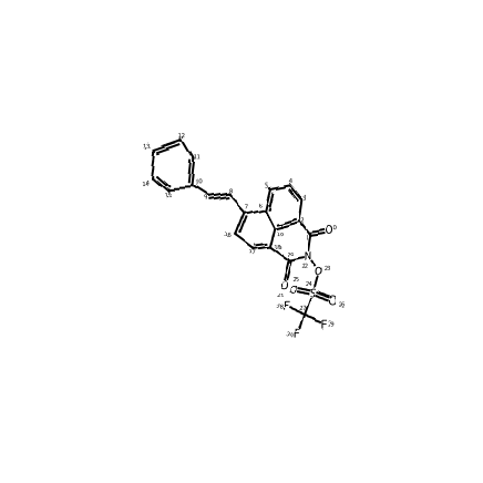 O=C1c2cccc3c(/C=C/c4ccccc4)ccc(c23)C(=O)N1OS(=O)(=O)C(F)(F)F